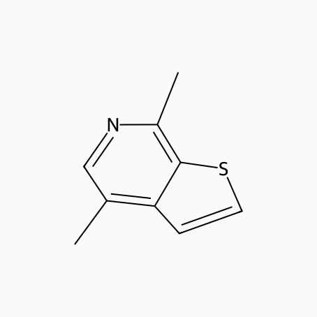 Cc1cnc(C)c2sccc12